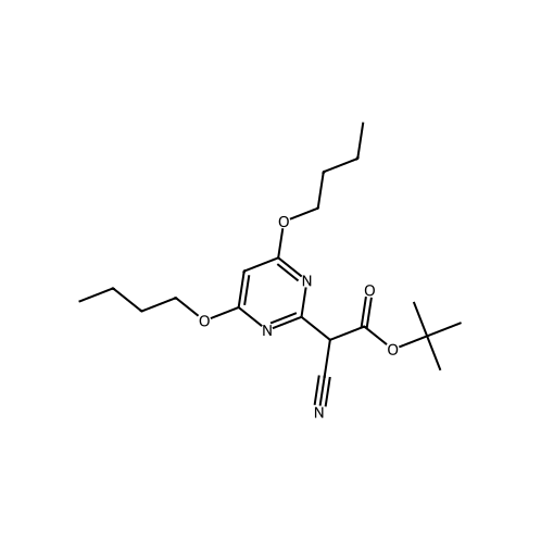 CCCCOc1cc(OCCCC)nc(C(C#N)C(=O)OC(C)(C)C)n1